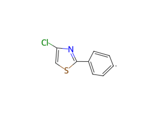 Clc1csc(-c2cc[c]cc2)n1